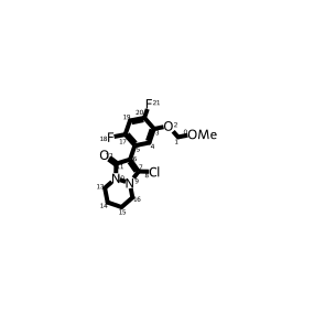 COCOc1cc(-c2c(Cl)n3n(c2=O)CCCC3)c(F)cc1F